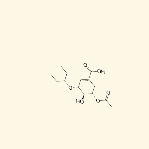 CCC(CC)O[C@@H]1C=C(C(=O)O)C[C@H](OC(C)=O)[C@H]1O